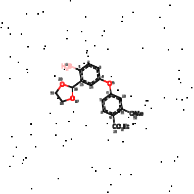 Bc1ccc(Oc2ccc(C(=O)OCC)c(OC)c2)cc1C1OCCO1